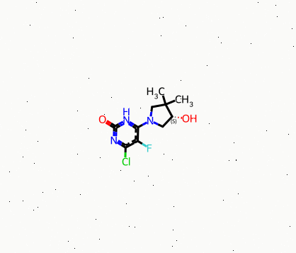 CC1(C)CN(c2[nH]c(=O)nc(Cl)c2F)C[C@H]1O